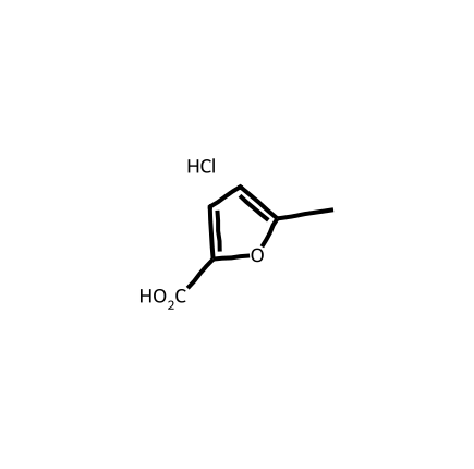 Cc1ccc(C(=O)O)o1.Cl